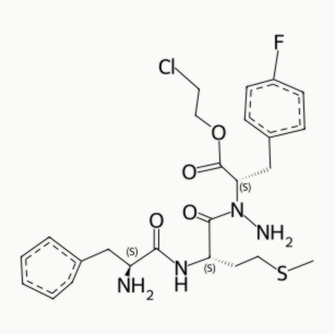 CSCC[C@H](NC(=O)[C@@H](N)Cc1ccccc1)C(=O)N(N)[C@@H](Cc1ccc(F)cc1)C(=O)OCCCl